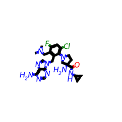 CN(C)Cc1c(F)cc(Cl)c(N2CCC(N)(C(=O)NC3CC3)C2)c1Cn1cnc2c(N)ncnc21